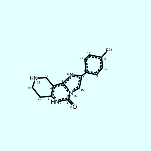 O=c1[nH]c2c(c3nc(-c4ccc(F)cc4)cn13)CNCC2